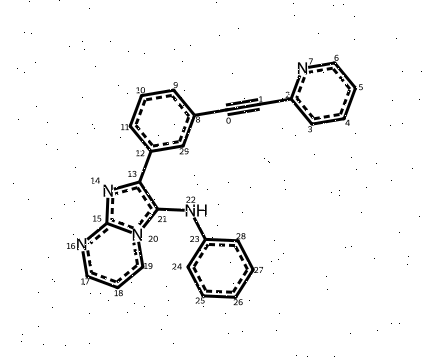 C(#Cc1ccccn1)c1cccc(-c2nc3ncccn3c2Nc2ccccc2)c1